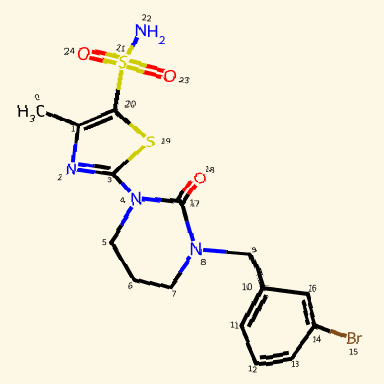 Cc1nc(N2CCCN(Cc3cccc(Br)c3)C2=O)sc1S(N)(=O)=O